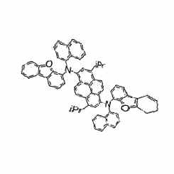 CC(C)c1cc(N(c2cccc3ccccc23)c2cccc3c4c(oc23)CCC=C4)c2ccc3c(C(C)C)cc(N(c4cccc5ccccc45)c4cccc5c4oc4ccccc45)c4ccc1c2c34